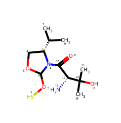 CC(C)[C@H]1COC(OS)N1C(=O)[C@@H](N)C(C)(C)O